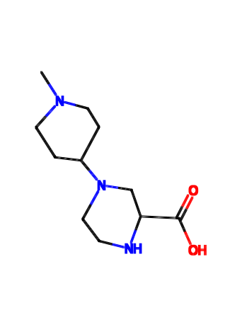 CN1CCC(N2CCNC(C(=O)O)C2)CC1